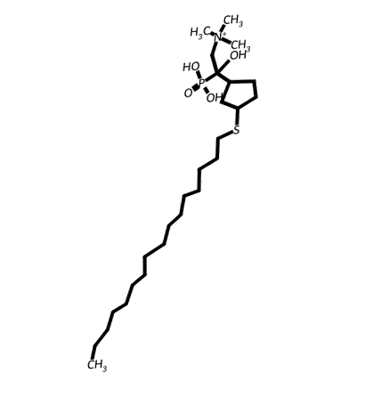 CCCCCCCCCCCCCCCCSC1CCC(C(O)(C[N+](C)(C)C)P(=O)(O)O)C1